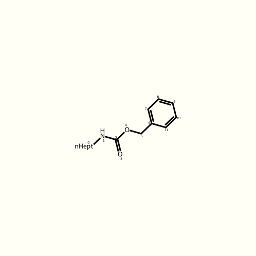 [CH2]CCCCCCNC(=O)OCc1ccccc1